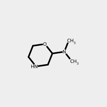 CN(C)[C]1CNCCO1